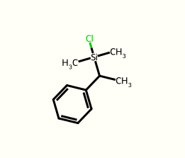 CC(c1ccccc1)[Si](C)(C)Cl